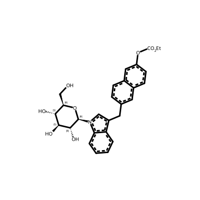 CCOC(=O)Oc1ccc2cc(Cc3cn([C@@H]4O[C@H](CO)[C@@H](O)[C@H](O)[C@H]4O)c4ccccc34)ccc2c1